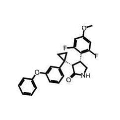 COc1cc(F)c([C@@H]2CNC(=O)[C@@H]2C2(c3cccc(Oc4ccccc4)c3)CC2)c(F)c1